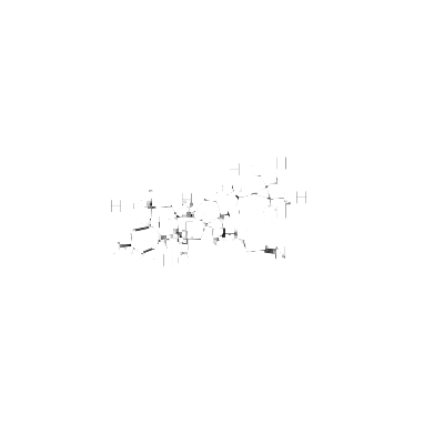 CC1(C)C(C(=O)O[C@]2(C(=S)OCC#N)CC[C@H]3[C@@H]4C[C@](C)(F)C5=CC(=O)C=C[C@]5(C)[C@@]4(F)[C@@H](O)C[C@@]32C)C1(C)C